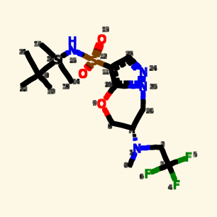 CN(CC(F)(F)F)[C@@H]1COc2c(S(=O)(=O)N[Si](C)(C)C(C)(C)C)cnn2C1